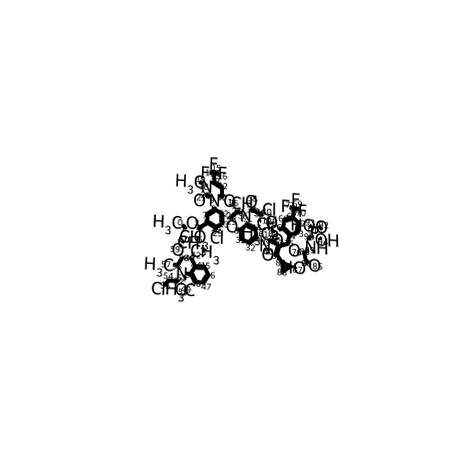 CC(C)OC(=O)c1cc(-n2c(=O)cc(C(F)(F)F)n(C)c2=O)ccc1Cl.CC1COc2ccccc2N1C(=O)C(Cl)Cl.CCc1cccc(C)c1N(C(=O)CCl)C(C)COC.CS(=O)(=O)c1cc(C(F)(F)F)ccc1C(=O)c1cnoc1C1CC1.O=C(O)CNCP(=O)(O)O